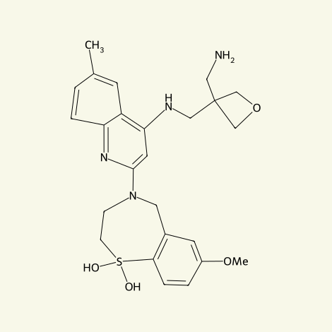 COc1ccc2c(c1)CN(c1cc(NCC3(CN)COC3)c3cc(C)ccc3n1)CCS2(O)O